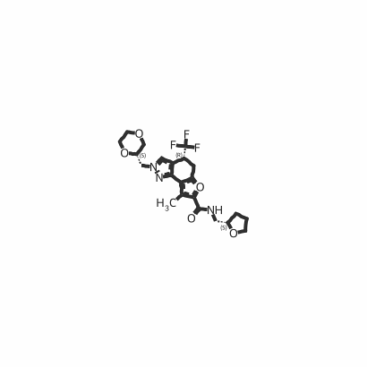 Cc1c(C(=O)NC[C@@H]2CCCO2)oc2c1-c1nn(C[C@H]3COCCO3)cc1[C@H](C(F)(F)F)C2